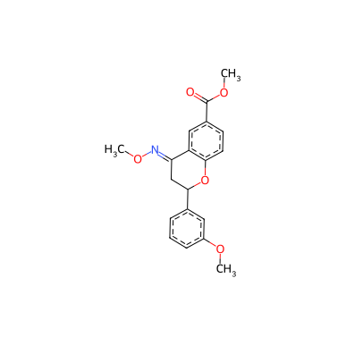 CON=C1CC(c2cccc(OC)c2)Oc2ccc(C(=O)OC)cc21